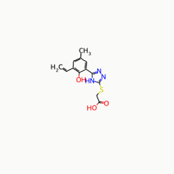 C=Cc1cc(C)cc(-c2nnc(SCC(=O)O)[nH]2)c1O